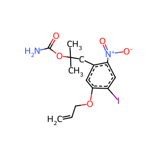 C=CCOc1cc(CC(C)(C)OC(N)=O)c([N+](=O)[O-])cc1I